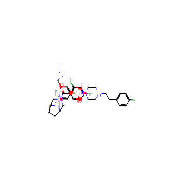 NCc1cc(S(=O)(=O)N2CCN(CCc3ccc(Cl)cc3)CC2)cc(N2C3CCC2CN(C(=O)c2ccc(F)cc2Cl)C3)n1